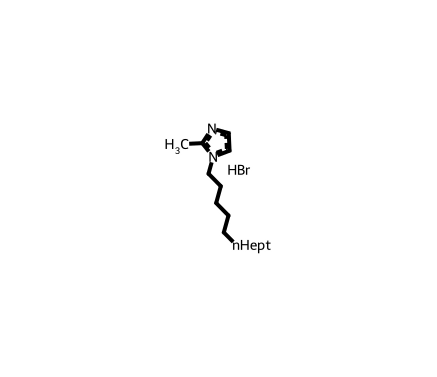 Br.CCCCCCCCCCCCn1ccnc1C